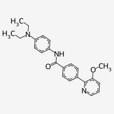 CCN(CC)c1ccc(NC(=O)c2ccc(-c3ncccc3OC)cc2)cc1